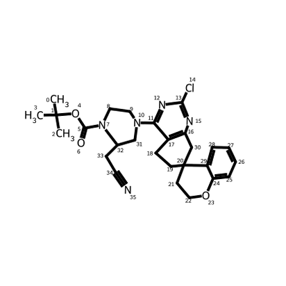 CC(C)(C)OC(=O)N1CCN(c2nc(Cl)nc3c2CCC2(CCOc4ccccc42)C3)CC1CC#N